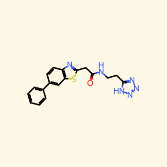 O=C(Cc1nc2ccc(-c3ccccc3)cc2s1)NCCc1nnn[nH]1